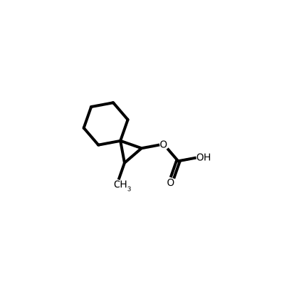 CC1C(OC(=O)O)C12CCCCC2